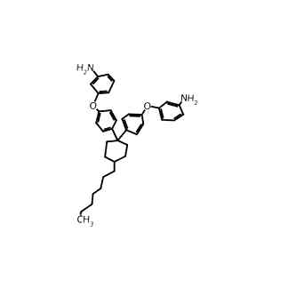 CCCCCCCC1CCC(c2ccc(Oc3cccc(N)c3)cc2)(c2ccc(Oc3cccc(N)c3)cc2)CC1